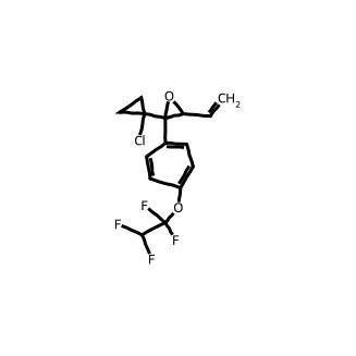 C=CC1OC1(c1ccc(OC(F)(F)C(F)F)cc1)C1(Cl)CC1